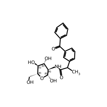 CC(C(=O)N[C@@H]1[C@@H](O)[C@H](O)[C@@H](CO)O[C@H]1O)c1cccc(C(=O)c2ccccc2)c1